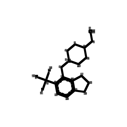 OCC1CCN(Cc2c(C(F)(F)F)ccc3c2CCC3)CC1